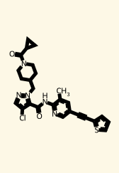 Cc1cc(C#Cc2cccs2)cnc1NC(=O)c1c(Cl)cnn1CC1CCN(C(=O)C2CC2)CC1